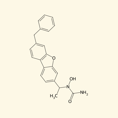 CC(c1ccc2c(c1)oc1cc(Cc3ccccc3)ccc12)N(O)C(N)=O